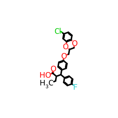 CCC(C(=O)O)C(c1ccc(F)cc1)c1ccc(OCC2COc3ccc(Cl)cc3O2)cc1